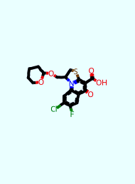 O=C(O)c1c2n(c3cc(Cl)c(F)cc3c1=O)C(COC1CCCCO1)CS2